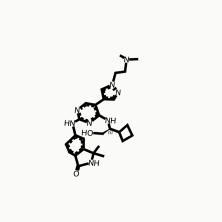 CN(C)CCn1cc(-c2cnc(Nc3ccc4c(c3)C(C)(C)NC4=O)nc2N[C@H](CO)C2CCC2)cn1